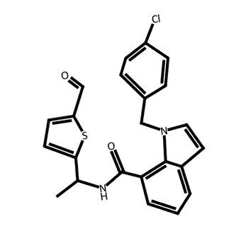 CC(NC(=O)c1cccc2ccn(Cc3ccc(Cl)cc3)c12)c1ccc(C=O)s1